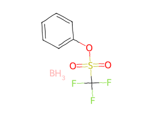 B.O=S(=O)(Oc1ccccc1)C(F)(F)F